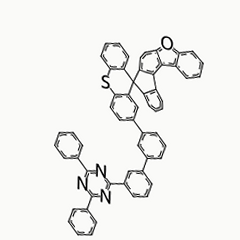 c1ccc(-c2nc(-c3ccccc3)nc(-c3cccc(-c4cccc(-c5ccc6c(c5)C5(c7ccccc7S6)c6ccccc6-c6c5ccc5oc7ccccc7c65)c4)c3)n2)cc1